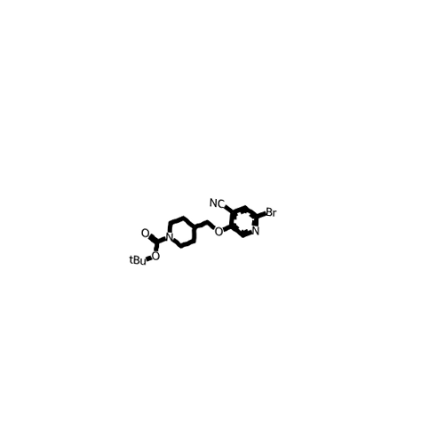 CC(C)(C)OC(=O)N1CCC(COc2cnc(Br)cc2C#N)CC1